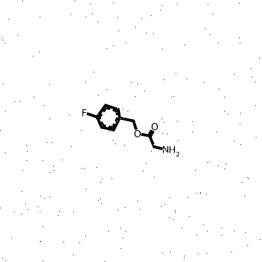 NCC(=O)OCc1ccc(F)cc1